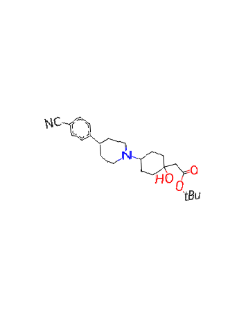 CC(C)(C)OC(=O)CC1(O)CCC(N2CCC(c3ccc(C#N)cc3)CC2)CC1